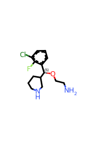 NCCO[C@H](c1cccc(Cl)c1F)C1CCCNC1